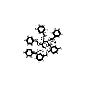 Cc1ccc(OCc2ccccc2)c([C@]2(O)O[C@H](COCc3ccccc3)[C@@H](OCc3ccccc3)[C@H](OCc3ccccc3)[C@H]2OCc2ccccc2)c1